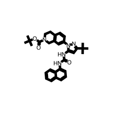 CC(C)(C)OC(=O)N1CCc2ccc(-n3nc(C(C)(C)C)cc3NC(=O)Nc3cccc4ccccc34)cc2C1